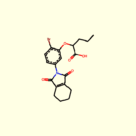 CCCC(Oc1cc(N2C(=O)C3=C(CCCC3)C2=O)ccc1Br)C(=O)O